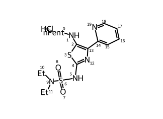 CCCCCNc1sc(NS(=O)(=O)N(CC)CC)nc1-c1ccccn1.Cl